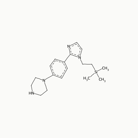 C[Si](C)(C)CCn1ccnc1-c1ccc(N2CCNCC2)cc1